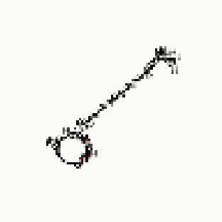 CO[C@H]1C[C@@H]2CC[C@@H](C)[C@@](O)(O2)C(=O)C(=O)N2CCCC[C@H]2C(=O)O[C@H]([C@H](N)C[C@@H]2CC[C@@H](OC(=O)NCCOCCOCCOCCOCCOCCOCCOCCOCCC(=O)N3CCc4cc(Cn5nc(-c6cnc7[nH]ccc7c6)c6c(N)ncnc65)ccc4C3)[C@H](OC)C2)CC[C@H](C)/C=C(\C)[C@@H](O)[C@@H](O)C(=O)[C@H](C)C[C@H](C)/C=C/C=C/C=C/1C